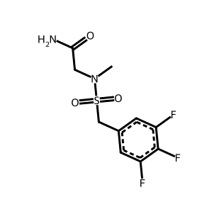 CN(CC(N)=O)S(=O)(=O)Cc1cc(F)c(F)c(F)c1